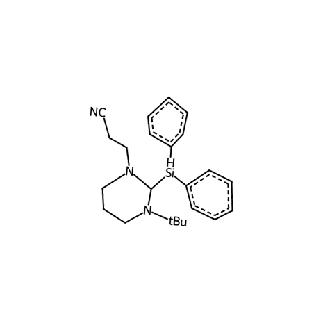 CC(C)(C)N1CCCN(CCC#N)C1[SiH](c1ccccc1)c1ccccc1